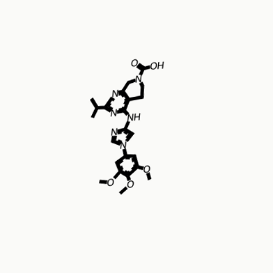 COc1cc(-n2cnc(Nc3nc(C(C)C)nc4c3CCN(C(=O)O)C4)c2)cc(OC)c1OC